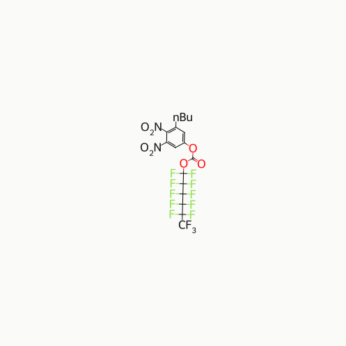 CCCCc1cc(OC(=O)OC(F)(F)C(F)(F)C(F)(F)C(F)(F)C(F)(F)C(F)(F)F)cc([N+](=O)[O-])c1[N+](=O)[O-]